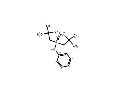 CC(C)(C)CP(=O)(CC(C)(C)C)Oc1ccccc1